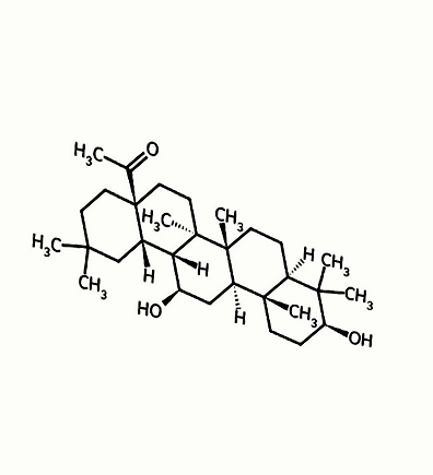 CC(=O)[C@]12CCC(C)(C)C[C@H]1[C@H]1[C@H](O)C[C@@H]3[C@@]4(C)CC[C@H](O)C(C)(C)[C@@H]4CC[C@@]3(C)[C@]1(C)CC2